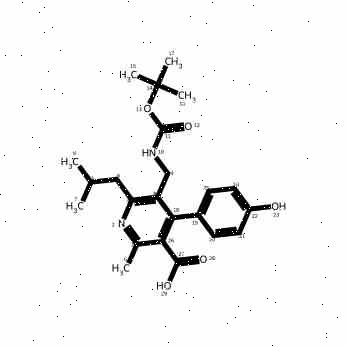 Cc1nc(CC(C)C)c(CNC(=O)OC(C)(C)C)c(-c2ccc(O)cc2)c1C(=O)O